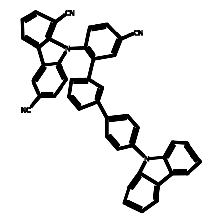 N#Cc1ccc(-n2c3ccc(C#N)cc3c3cccc(C#N)c32)c(-c2cccc(-c3ccc(-n4c5ccccc5c5ccccc54)cc3)c2)c1